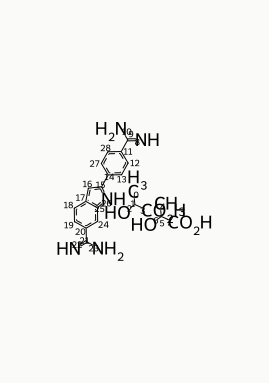 CC(O)C(=O)O.CC(O)C(=O)O.N=C(N)c1ccc(-c2cc3ccc(C(=N)N)cc3[nH]2)cc1